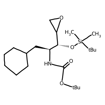 CC(C)(C)OC(=O)N[C@@H](CC1CCCCC1)[C@@H](O[Si](C)(C)C(C)(C)C)C1CO1